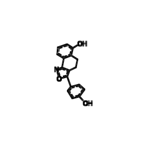 Oc1ccc(-c2onc3c2CCc2c(O)cccc2-3)cc1